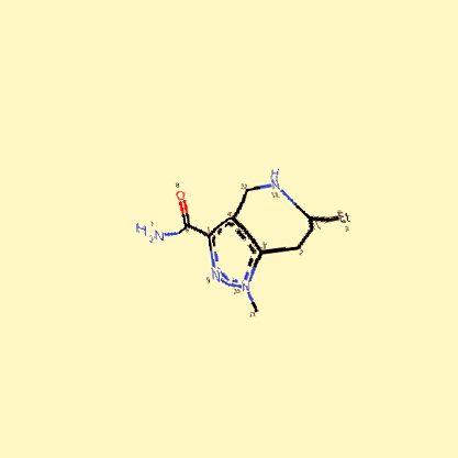 CCC1Cc2c(c(C(N)=O)nn2C)CN1